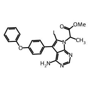 COC(=O)C(C)n1c(I)c(-c2ccc(Oc3ccccc3)cc2)c2c(N)ncnc21